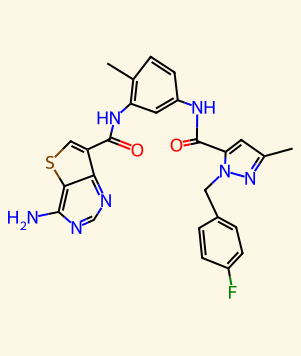 Cc1cc(C(=O)Nc2ccc(C)c(NC(=O)c3csc4c(N)ncnc34)c2)n(Cc2ccc(F)cc2)n1